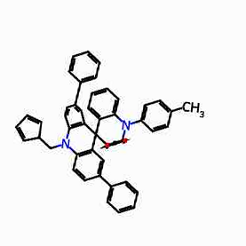 Cc1ccc(N2c3ccccc3C3(c4cc(-c5ccccc5)ccc4N(CC4C=CC=C4)c4ccc(-c5ccccc5)cc43)c3ccccc32)cc1